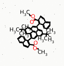 CCOC(=O)c1ccc2ccccc2c1-c1cc2cc(C(C)(C)C)cc3c(-c4c(C(=O)OCC)ccc5ccccc45)cc4cc(C(C)(C)C)cc1c4c23